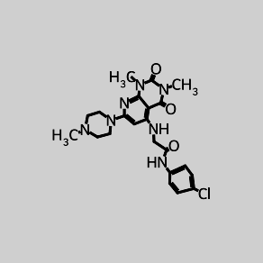 CN1CCN(c2cc(NCC(=O)Nc3ccc(Cl)cc3)c3c(=O)n(C)c(=O)n(C)c3n2)CC1